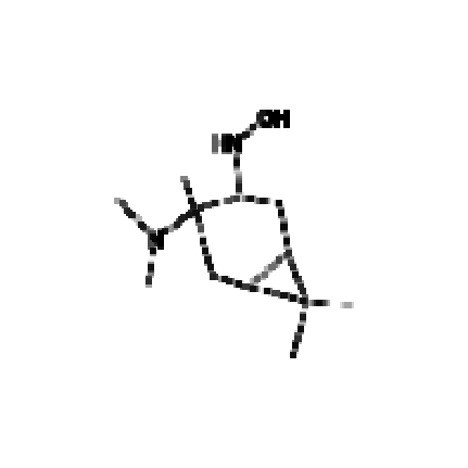 CN(C)C1(C)CC2C(CC1NO)C2(C)C